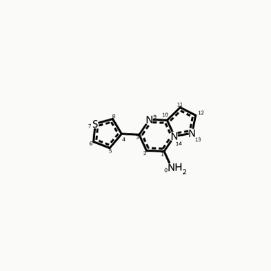 Nc1cc(-c2ccsc2)nc2ccnn12